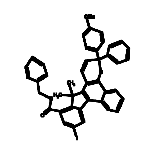 COc1ccc(C2(c3ccccc3)C=Cc3c4c(c5ccccc5c3O2)-c2cc(I)cc(C(=O)OCc3ccccc3)c2C4(C)C)cc1